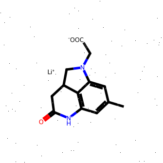 Cc1cc2c3c(c1)N(CC(=O)[O-])CC3CC(=O)N2.[Li+]